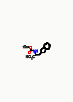 CC(C)(C)OC(=O)N[C@H](CC1Cc2ccccc2C1)C(=O)O